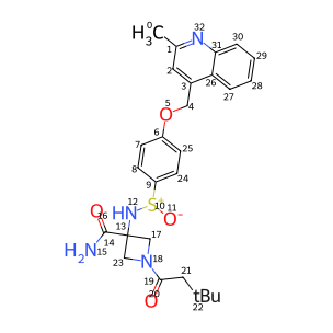 Cc1cc(COc2ccc([S+]([O-])NC3(C(N)=O)CN(C(=O)CC(C)(C)C)C3)cc2)c2ccccc2n1